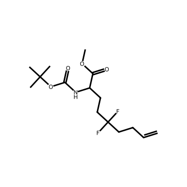 C=CCCC(F)(F)CCC(NC(=O)OC(C)(C)C)C(=O)OC